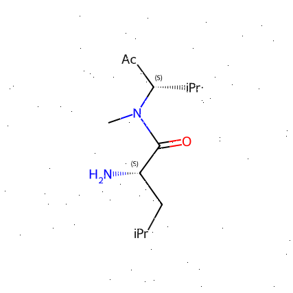 C[C](C)[C@@H](C(C)=O)N(C)C(=O)[C@@H](N)CC(C)C